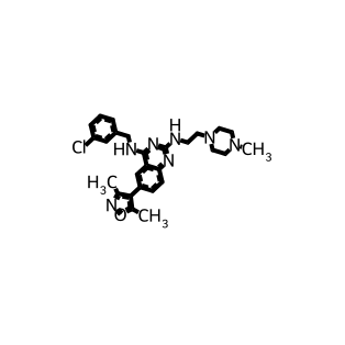 Cc1noc(C)c1-c1ccc2nc(NCCN3CCN(C)CC3)nc(NCc3cccc(Cl)c3)c2c1